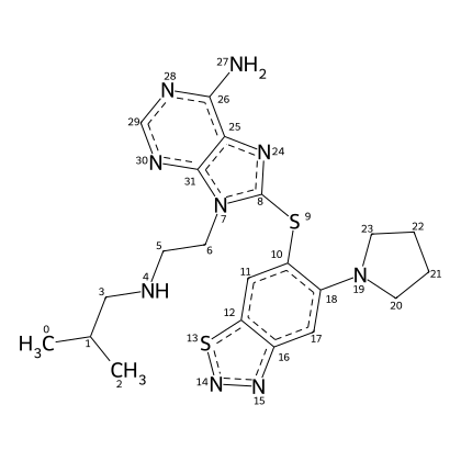 CC(C)CNCCn1c(Sc2cc3snnc3cc2N2CCCC2)nc2c(N)ncnc21